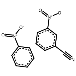 N#Cc1cccc([N+](=O)[O-])c1.O=[N+]([O-])c1ccccc1